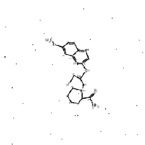 COc1ccc2ncc(OC(CF)CN3CC[CH]CC3C(N)=O)nc2c1